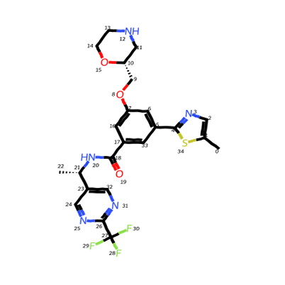 Cc1cnc(-c2cc(OC[C@H]3CNCCO3)cc(C(=O)N[C@@H](C)c3cnc(C(F)(F)F)nc3)c2)s1